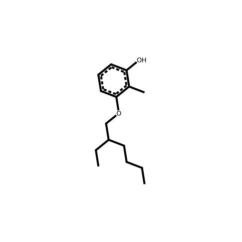 CCCCC(CC)COc1cccc(O)c1C